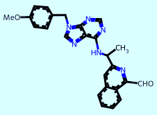 COc1ccc(Cn2cnc3c(NC(C)c4cc5ccccc5c(C=O)n4)ncnc32)cc1